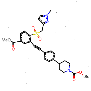 COC(=O)c1ccc(S(=O)(=O)Cc2ccn(C)n2)c(C#Cc2ccc(C3CCN(C(=O)OC(C)(C)C)CC3)cc2)c1